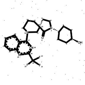 O=C1N([C@H]2CC[C@H](O)CC2)CC[C@]12CCCN(c1nc(C(F)(F)F)nc3ccccc13)C2